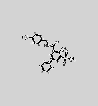 Cc1ccc(CNC(=O)c2cc(-c3ccccc3)cc(S(C)(=O)=O)c2C)cn1